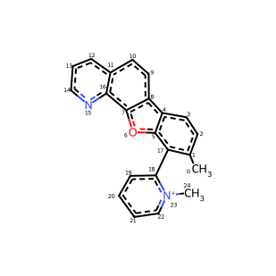 Cc1ccc2c(oc3c2ccc2cccnc23)c1-c1cccc[n+]1C